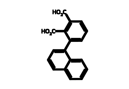 O=C(O)c1cccc(-c2cccc3ccccc23)c1C(=O)O